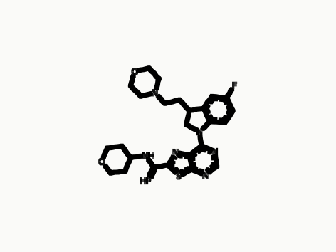 Fc1ccc2c(c1)C(CCN1CCOCC1)CN2c1ncnc2sc(C(=P)NC3CCOCC3)nc12